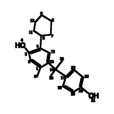 Cc1cc(O)c(C2CCCCC2)cc1C(C)(C)c1ccc(O)cc1